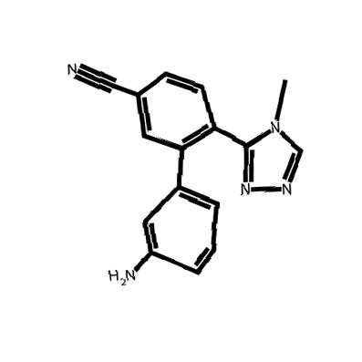 Cn1cnnc1-c1ccc(C#N)cc1-c1cccc(N)c1